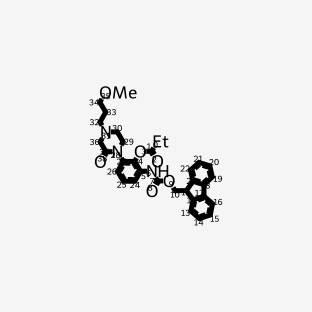 CCC(=O)Oc1c(NC(=O)OCC2c3ccccc3-c3ccccc32)cccc1N1CCN(CCCOC)CC1=O